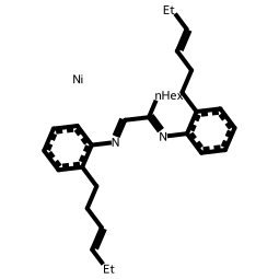 CCC=CCCc1ccccc1N=CC(CCCCCC)=Nc1ccccc1CCC=CCC.[Ni]